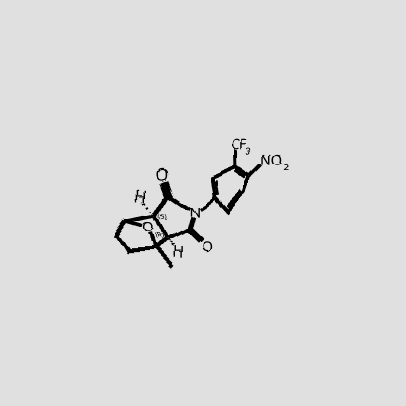 CC12CCC(O1)[C@H]1C(=O)N(c3ccc([N+](=O)[O-])c(C(F)(F)F)c3)C(=O)[C@H]12